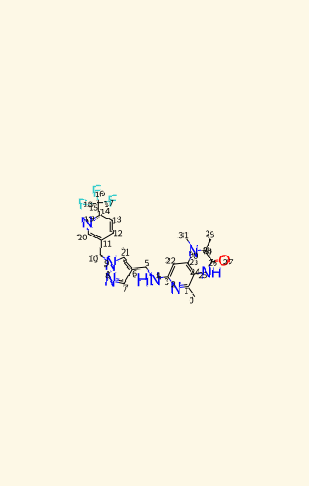 Cc1nc(NCc2cnn(Cc3ccc(C(F)(F)F)nc3)c2)cc2c1NC(=O)[C@H](C)N2C